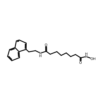 O=C(CCCCCCC(=O)NCCc1cccc2ccccc12)NO